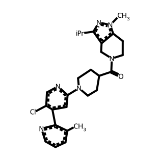 Cc1cccnc1-c1cc(N2CCC(C(=O)N3CCc4c(c(C(C)C)nn4C)C3)CC2)ncc1Cl